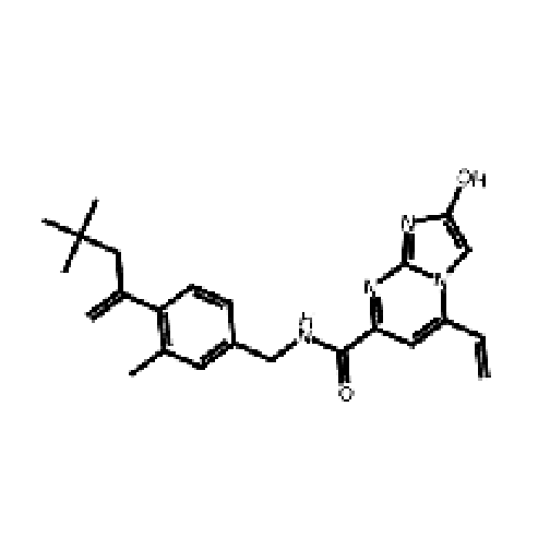 C=Cc1cc(C(=O)NCc2ccc(C(=C)CC(C)(C)C)c(C)c2)nc2nc(O)cn12